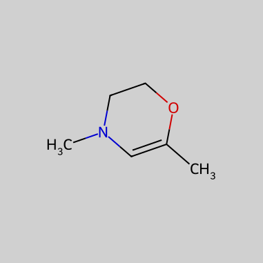 CC1=CN(C)CCO1